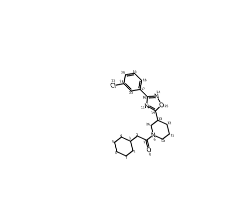 O=C(CC1CCCCC1)N1CCCC(c2nc(-c3cccc(Cl)c3)no2)C1